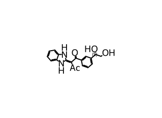 CC(=O)C(C(=O)c1cccc([C@H](O)CO)c1)=C1Nc2ccccc2N1